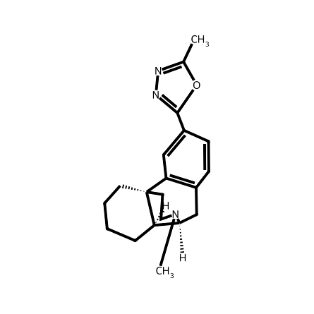 Cc1nnc(-c2ccc3c(c2)[C@]24CCCC[C@@H]2[C@H](C3)N(C)CC4)o1